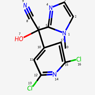 Cn1ccnc1C(O)(C#N)c1cc(Cl)nc(Cl)c1